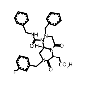 O=C(O)C[C@H]1C(=O)N(Cc2cccc(F)c2)C[C@H]2N1C(=O)CN(Cc1ccccc1)N2C(=O)NCc1ccccc1